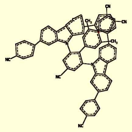 Cc1cc(-c2c(-n3c4cc(-c5ccc(C#N)cc5)ccc4c4ccc(-c5ccc(C#N)cc5)cc43)cc(C#N)cc2-n2c3cc(-c4ccc(C#N)cc4)ccc3c3ccc(-c4ccc(C#N)cc4)cc32)cc(C)n1